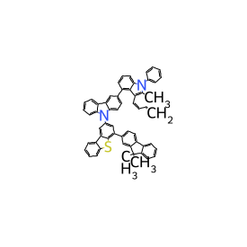 C=C/C=C\c1c(C)n(-c2ccccc2)c2cccc(-c3ccc4c(c3)c3ccccc3n4-c3cc(-c4ccc5c(c4)C(C)(C)c4ccccc4-5)c4sc5ccccc5c4c3)c12